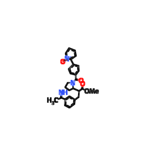 COC(=O)C(Cc1cccc(C(C)=N)c1)C1CCCN1C(=O)c1ccc(-c2cccc[n+]2[O-])cc1